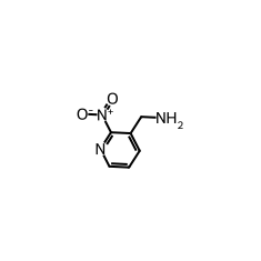 NCc1cccnc1[N+](=O)[O-]